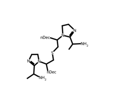 CCCCCCCCCCC(CSCC(CCCCCCCCCC)N1CCN=C1C(C)N)N1CCN=C1C(C)N